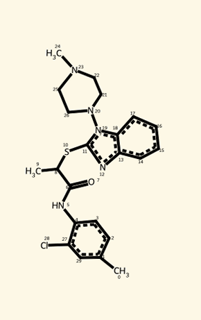 Cc1ccc(NC(=O)C(C)Sc2nc3ccccc3n2N2CCN(C)CC2)c(Cl)c1